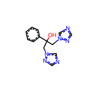 OC(Cn1cncn1)(Cn1cncn1)c1ccccc1